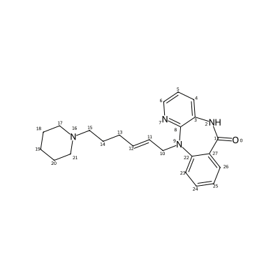 O=C1Nc2cccnc2N(CC=CCCCN2CCCCC2)c2ccccc21